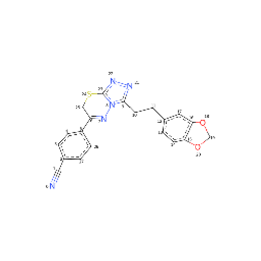 N#Cc1ccc(C2=Nn3c(CCc4ccc5c(c4)OCO5)nnc3SC2)cc1